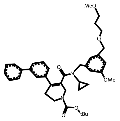 COCCCOCc1cc(CN(C(=O)C2=C(c3cccc(-c4ccccc4)c3)CCN(C(=O)OC(C)(C)C)C2)C2CC2)cc(OC)c1